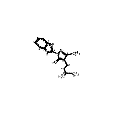 CC1=NN(c2nc3ccccc3s2)C(=O)C1CCC(C)C